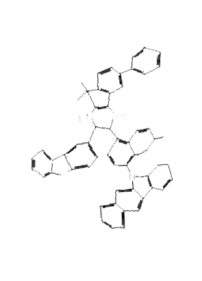 CC1C=Cc2c(C3NC4=C(NC3c3ccc5oc6ccccc6c5c3)C(C)(C)c3ccc(-c5ccccc5)cc34)ccc(-n3c4c(c5cc6ccccc6cc53)C=CCC4)c2C1